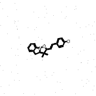 CC1(C)C(C=Cc2ccc(Cl)cc2)ON2c3ccccc3CC21